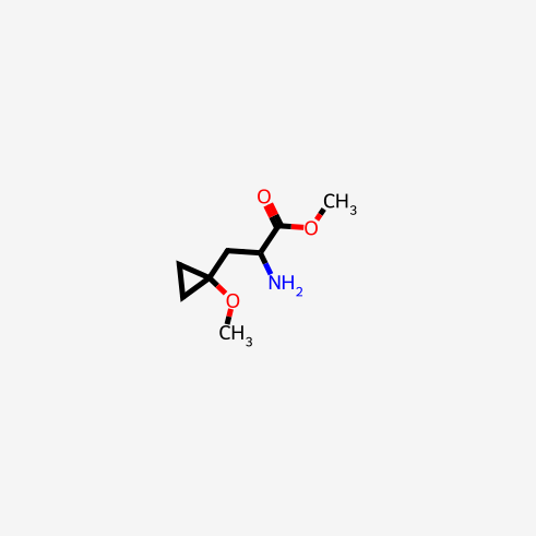 COC(=O)C(N)CC1(OC)CC1